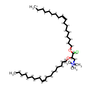 CCCCCCCC/C=C\CCCCCCCCOC(Cl)C(C[N+](C)(C)C)OCCCCCCCC/C=C\CCCCCCCC